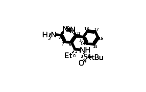 CC[C@@H](N[S+]([O-])C(C)(C)C)c1cc(N)nnc1-c1ccccc1